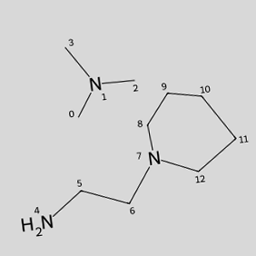 CN(C)C.NCCN1CCCCC1